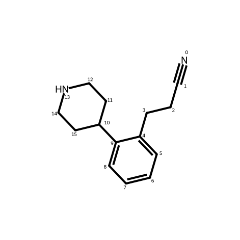 N#CCCc1ccccc1C1CCNCC1